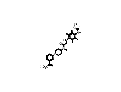 CCOC(=O)C(C)c1cccc(N2CCC(N(C)C(=O)CNc3c(C)c(C)c(NC(=O)OC(C)(C)C)c(C)c3C)CC2)c1